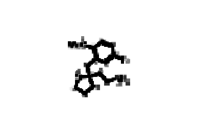 COc1ccc(F)cc1CC1(CCN)CCCO1